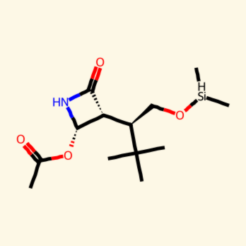 CC(=O)O[C@@H]1NC(=O)[C@@H]1[C@@H](CO[SiH](C)C)C(C)(C)C